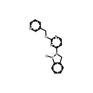 [O-][S+]1c2ccccc2CN1c1ccnc(OCc2cccnc2)n1